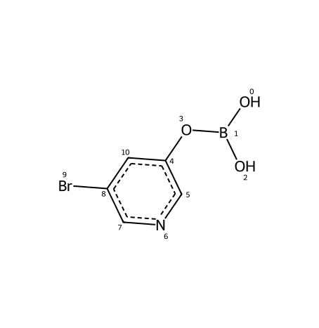 OB(O)Oc1cncc(Br)c1